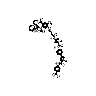 COC(=O)c1ccc(NC(=O)c2cc(-c3ccc(NC(=O)c4cc(NC(=O)CCCOc5cc6c(cc5OC)C(=O)N5CCCC[C@H]5C(OC5CCCCO5)N6C(=O)O)cn4C)cc3)cn2C)cc1